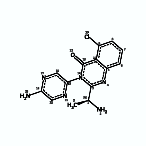 C[C@H](N)c1nc2cccc(Cl)c2c(=O)n1-c1cnc(N)cn1